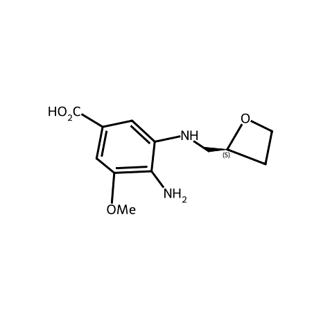 COc1cc(C(=O)O)cc(NC[C@@H]2CCO2)c1N